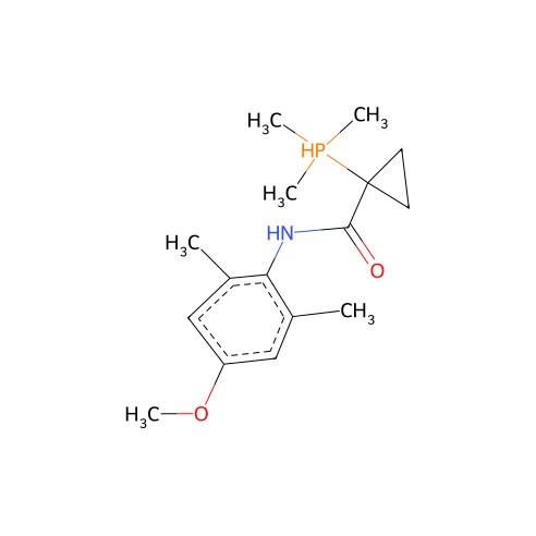 COc1cc(C)c(NC(=O)C2([PH](C)(C)C)CC2)c(C)c1